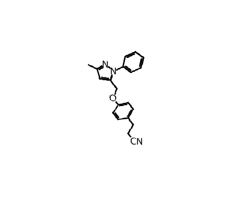 Cc1cc(COc2ccc(CCC#N)cc2)n(-c2ccccc2)n1